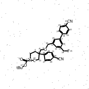 CC(C)(C)OC(=O)N1CCC(COCc2cc(CF)cc(-c3ccc(C#N)cc3)c2)(c2ccc(C#N)cc2)CC1